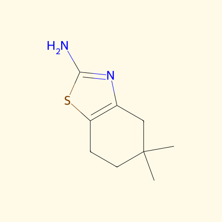 CC1(C)CCc2sc(N)nc2C1